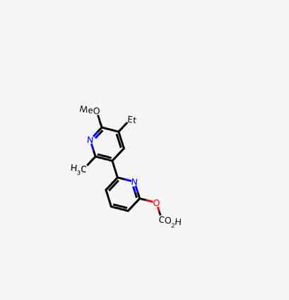 CCc1cc(-c2cccc(OC(=O)O)n2)c(C)nc1OC